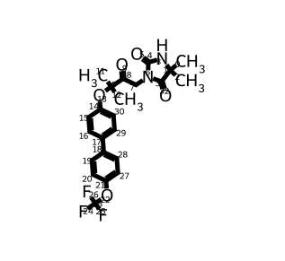 CC1(C)NC(=O)N(CC(=O)C(C)(C)Oc2ccc(-c3ccc(OC(F)(F)F)cc3)cc2)C1=O